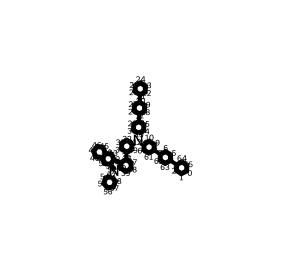 c1ccc(-c2ccc(-c3ccc(N(c4ccc(-c5ccc(-c6ccccc6)cc5)cc4)c4cccc(-c5cccc6c5c5cc7ccccc7cc5n6-c5ccccc5)c4)cc3)cc2)cc1